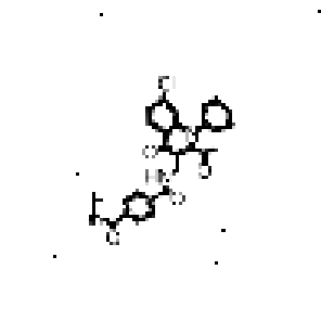 CNC(=O)c1ccc(C(=O)NCc2c(C(C)=O)n(-c3ccccc3)c3cc(Cl)ccc3c2=O)cc1